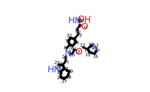 O=C(/C=C/c1ccc(CN(CCOCc2cccnc2)CCc2c[nH]c3ccccc23)cc1)NO